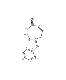 O=C1/C=C\CC(=Cc2ccccn2)CCC1